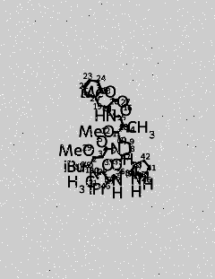 CC[C@H](C)[C@@H](C(CC(=O)N1CCC[C@H]1C(OC)[C@@H](C)C(=O)N[C@@H](Cc1ccccc1)C(=O)OC)OC)N(C)C(=O)[C@@H](NC(=O)[C@H]1N[C@@H]2CC[C@H]1C2)C(C)C